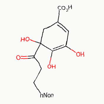 CCCCCCCCCCCC(=O)C1(O)CC(C(=O)O)=CC(O)=C1O